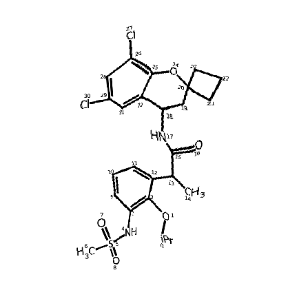 CC(C)Oc1c(NS(C)(=O)=O)cccc1C(C)C(=O)NC1CC2(CCC2)Oc2c(Cl)cc(Cl)cc21